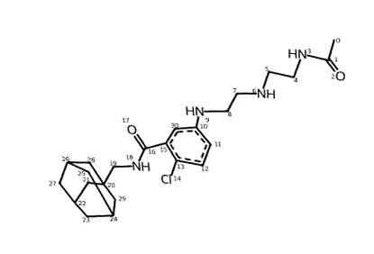 CC(=O)NCCNCCNc1ccc(Cl)c(C(=O)NCC23CC4CC(CC(C4)C2)C3)c1